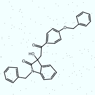 O=C(CC1(O)C(=O)N(Cc2ccccc2)c2ccccc21)c1ccc(OCc2ccccc2)cc1